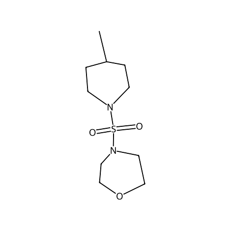 CC1CCN(S(=O)(=O)N2CCOCC2)CC1